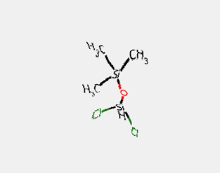 C[Si](C)(C)O[SiH](Cl)Cl